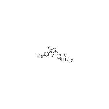 CC1(C)C(=O)N(c2ccc(SC(F)(F)F)cc2)C(=O)N1Cc1ccnc(C(=O)NN2CCOCC2)c1